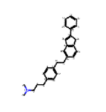 CN(C)CCCc1ccc(CCc2ccc3c(c2)C=C(c2ccccc2)C3)cc1